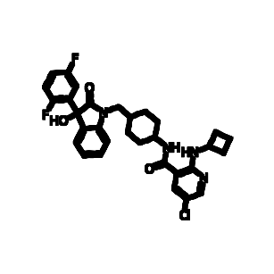 O=C(NC1CCC(CN2C(=O)C(O)(c3cc(F)ccc3F)c3ccccc32)CC1)c1cc(Cl)cnc1NC1CCC1